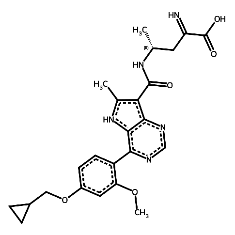 COc1cc(OCC2CC2)ccc1-c1ncnc2c(C(=O)N[C@H](C)CC(=N)C(=O)O)c(C)[nH]c12